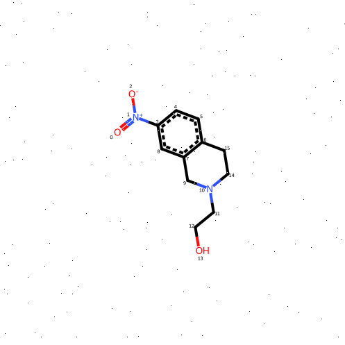 O=[N+]([O-])c1ccc2c(c1)CN(CCO)CC2